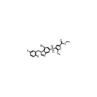 CCOC(=O)c1cc(S(=O)(=O)c2cc(Br)c3c(c2)ncn3Cc2cc(F)ccc2F)c(SC)s1